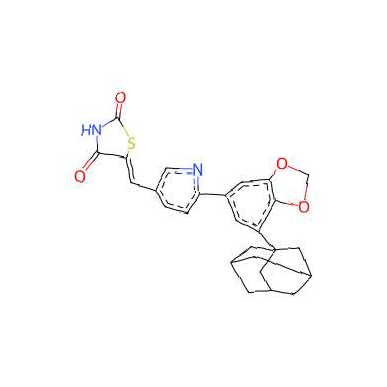 O=C1NC(=O)C(=Cc2ccc(-c3cc4c(c(C56CC7CC(CC(C7)C5)C6)c3)OCO4)nc2)S1